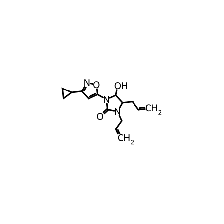 C=CCC1C(O)N(c2cc(C3CC3)no2)C(=O)N1CC=C